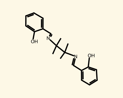 CC(C)(N=Cc1ccccc1O)C(C)(C)N=Cc1ccccc1O